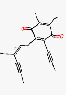 CC#CC1=C(C/C=C(/C)C#CC)C(=O)C(C)=C(C)C1=O